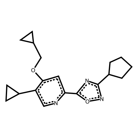 c1c(-c2nc(C3CCCC3)no2)ncc(C2CC2)c1OCC1CC1